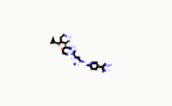 Cn1cc(-c2ccc(CNc3cc(-c4cnc5cc(OC(C6CCNCC6)C6CC6)ccn45)ncn3)cc2)cn1